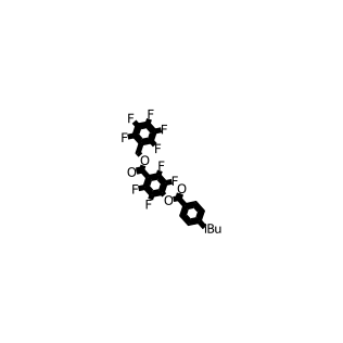 CCC(C)c1ccc(C(=O)Oc2c(F)c(F)c(C(=O)OCc3c(F)c(F)c(F)c(F)c3F)c(F)c2F)cc1